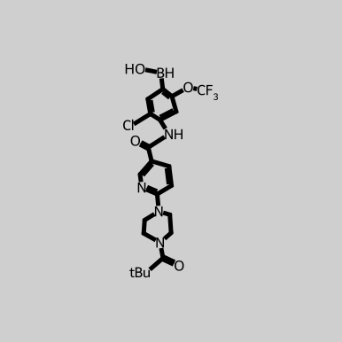 CC(C)(C)C(=O)N1CCN(c2ccc(C(=O)Nc3cc(OC(F)(F)F)c(BO)cc3Cl)cn2)CC1